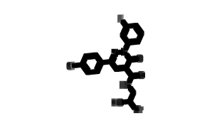 CC(C)C(O)CNC(=O)c1cc(-c2ccc(Cl)cc2)nn(-c2cccc(F)c2)c1=O